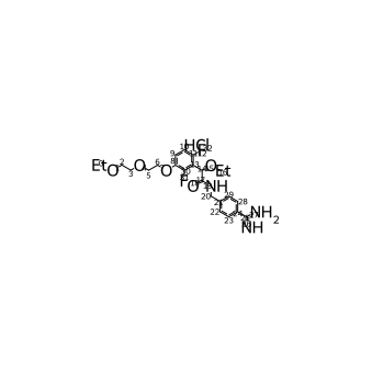 CCOCCOCCOc1ccc(F)c(C(OCC)C(=O)NCc2ccc(C(=N)N)cc2)c1F.Cl